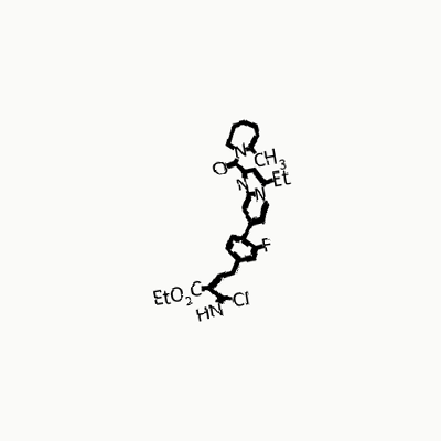 CCOC(=O)/C(=C/Cc1ccc(C2=C=CN3C(CC)=CC(C(=O)N4CCCCC=C4C)=NC3=C2)c(F)c1)C(=N)Cl